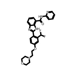 O=C(Nc1ccccn1)c1cccc2nc(-c3ccc(OCCN4CCOCC4)cc3C(F)F)[nH]c12